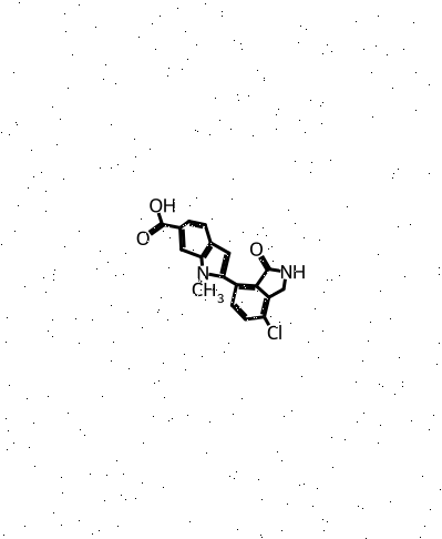 Cn1c(-c2ccc(Cl)c3c2C(=O)NC3)cc2ccc(C(=O)O)cc21